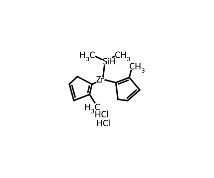 CC1=[C]([Zr]([C]2=C(C)C=CC2)[SiH](C)C)CC=C1.Cl.Cl